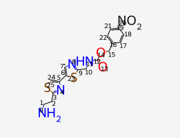 NCCc1nc(-c2[c]nc(CNC(=O)OCc3ccc([N+](=O)[O-])cc3)s2)cs1